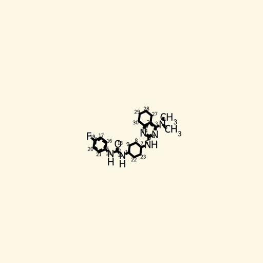 CN(C)c1nc(NC2CCC(NC(=O)Nc3ccc(F)cc3)CC2)nc2c1CCCC2